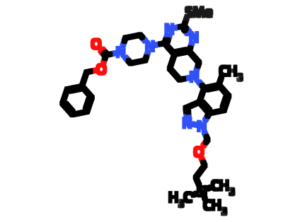 CSc1nc2c(c(N3CCN(C(=O)OCc4ccccc4)CC3)n1)CCN(c1c(C)ccc3c1cnn3COCC[Si](C)(C)C)C2